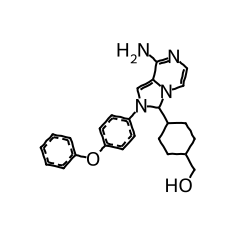 NC1=NC=CN2C1=CN(c1ccc(Oc3ccccc3)cc1)C2C1CCC(CO)CC1